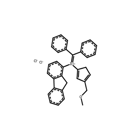 COCC1=CC[C]([Zr+2](=[C](c2ccccc2)c2ccccc2)[c]2cccc3c2Cc2ccccc2-3)=C1.[Cl-].[Cl-]